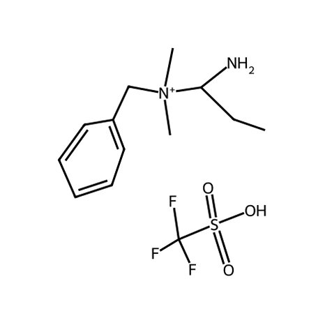 CCC(N)[N+](C)(C)Cc1ccccc1.O=S(=O)(O)C(F)(F)F